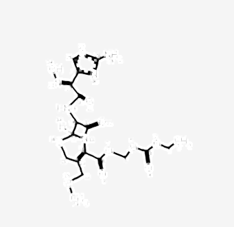 CCOC(=O)OCOC(=O)C1=C(COC)CS[C@H]2C(NC(=O)C(=NO)c3csc(N)n3)C(=O)N12